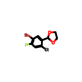 CCc1cc(F)c(Br)cc1C1OCCO1